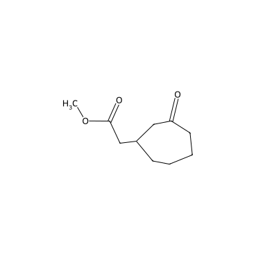 COC(=O)CC1CCCCC(=O)C1